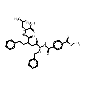 COC(=O)c1ccc(C(=O)NN(OCc2ccccc2)C(=O)CC(CCc2ccccc2)C(=O)N[C@@H](CC(C)C)C(=O)O)cc1